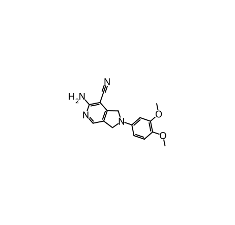 COc1ccc(N2Cc3cnc(N)c(C#N)c3C2)cc1OC